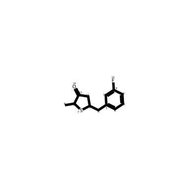 CC1SC(Cc2cccc(F)c2)CC1=O